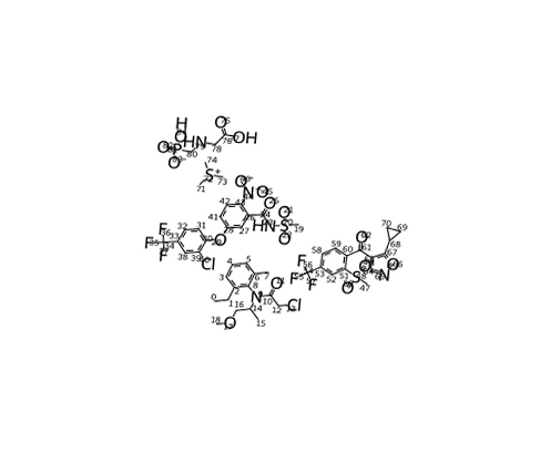 CCc1cccc(C)c1N(C(=O)CCl)C(C)COC.CS(=O)(=O)NC(=O)c1cc(Oc2ccc(C(F)(F)F)cc2Cl)ccc1[N+](=O)[O-].CS(=O)(=O)c1cc(C(F)(F)F)ccc1C(=O)c1cnoc1C1CC1.C[S+](C)C.O=C(O)CNCP(=O)([O-])O